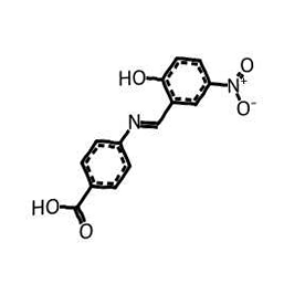 O=C(O)c1ccc(N=Cc2cc([N+](=O)[O-])ccc2O)cc1